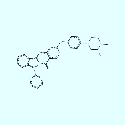 C[C@H]1CN(c2ccc(Nc3ncc4c(=O)n5c(nc4n3)c3ccccc3n5-c3ncccn3)cc2)CCN1C